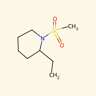 [CH2]CC1CCCCN1S(C)(=O)=O